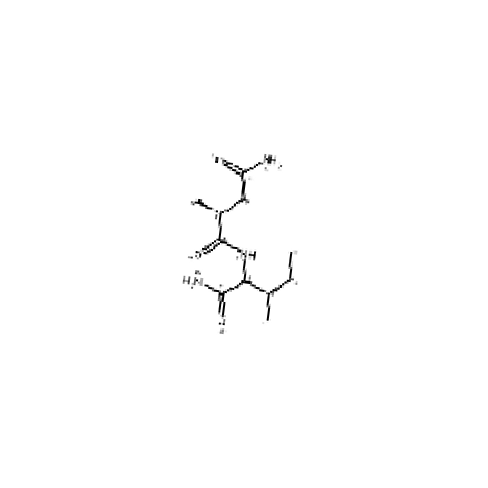 CCC(C)C(NC(=O)[C@@H](C)CC(N)=O)C(N)=O